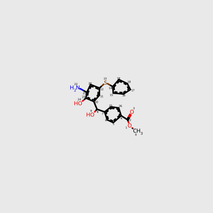 COC(=O)c1ccc(C(O)c2cc(Sc3ccccc3)cc(N)c2O)cc1